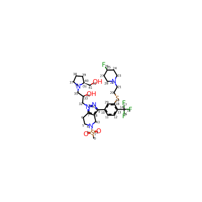 CS(=O)(=O)N1CCc2c(c(-c3ccc(C(F)(F)F)c(SCCN4CCC(F)CC4)c3)nn2CC(O)CN2CCC[C@H]2CO)C1